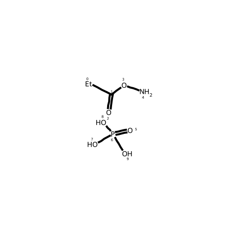 CCC(=O)ON.O=P(O)(O)O